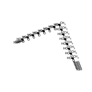 CC(=O)O.CC(=O)O.CC(=O)O.CC(=O)O.CC(=O)O.CC(=O)O.CC(=O)O.CC(=O)O.CC(=O)O.CC(=O)O.CC(=O)O.CC(=O)O.CC(=O)O.CC(=O)O.CC(=O)O.[NaH].[NaH].[NaH].[NaH].[NaH].[NaH].[NaH].[NaH].[NaH].[NaH]